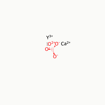 [Ca+2].[O+2].[O-]B([O-])[O-].[Y+3]